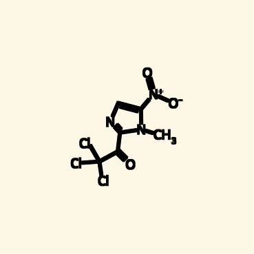 Cn1c([N+](=O)[O-])cnc1C(=O)C(Cl)(Cl)Cl